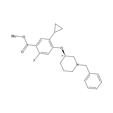 CC(C)(C)OC(=O)c1cc(C2CC2)c(O[C@@H]2CCCN(Cc3ccccc3)C2)cc1F